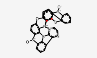 [O-][S+]1c2cccc3c2B2c4c1ccc1c4[N+]4(c5c(ccc6c5B5c7c(cccc7[S+]6[O-])-c6ncc[n+]4c65)O1)[n+]1ccnc-3c12